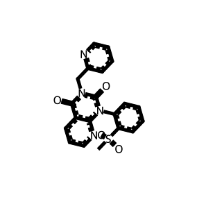 CS(=O)(=O)c1ccccc1-n1c(=O)n(Cc2ccccn2)c(=O)c2cccnc21